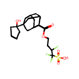 O=C(OCCC(F)C(F)(F)S(=O)(=O)O)C1C2CC3CC1CC(C1(O)CCCC1)(C3)C2